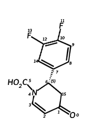 O=C1C=CN(C(=O)O)[C@H](c2ccc(F)c(F)c2)C1